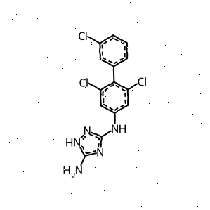 Nc1nc(Nc2cc(Cl)c(-c3cccc(Cl)c3)c(Cl)c2)n[nH]1